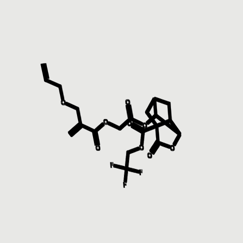 C=CCOCC(=C)C(=O)OCC(=O)OC1C2CC3C1OC(=O)C3(C(=O)OCC(F)(F)F)C2